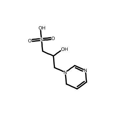 O=S(=O)(O)CC(O)CN1C=NC=CC1